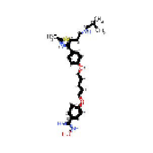 Cc1nc(-c2ccc(OCCCCCOc3ccc(C(=N)NO)cc3)cc2)c(CCNCC(C)C)s1